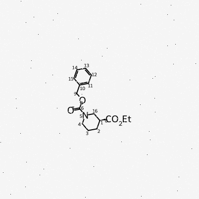 CCOC(=O)[C@H]1CCCN(C(=O)OCc2ccccc2)C1